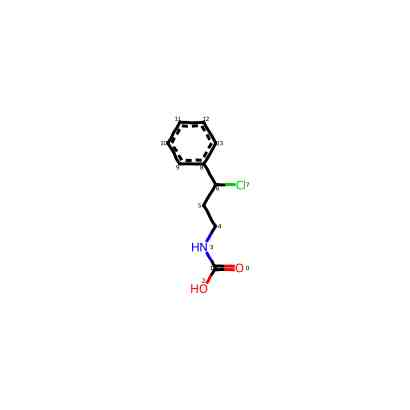 O=C(O)NCCC(Cl)c1ccccc1